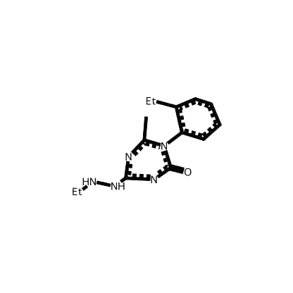 CCNNc1nc(C)n(-c2ccccc2CC)c(=O)n1